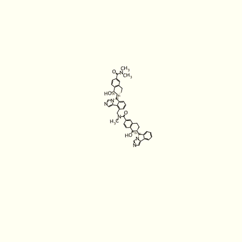 CN(C)C(=O)c1ccc2c(c1)CC[C@H]([C@@H]1c3cccc(CN(C)C(=O)c4ccc5c(c4)CC[C@@H]([C@@H]4c6ccccc6-c6cncn64)[C@H]5O)c3-c3cncn31)[C@H]2O